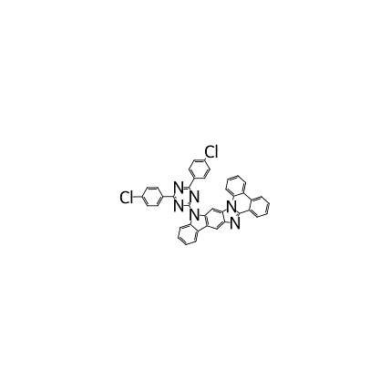 Clc1ccc(-c2nc(-c3ccc(Cl)cc3)nc(-n3c4ccccc4c4cc5nc6c7ccccc7c7ccccc7n6c5cc43)n2)cc1